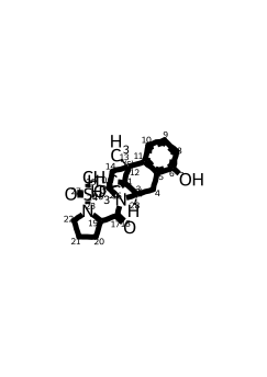 CC1(C)[C@H]2Cc3c(O)cccc3[C@]1(C)CCN2C(=O)C1CCCN1S(C)(=O)=O